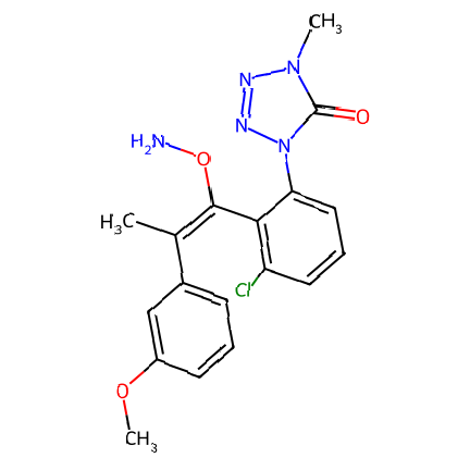 COc1cccc(/C(C)=C(/ON)c2c(Cl)cccc2-n2nnn(C)c2=O)c1